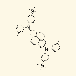 Cc1cccc(N(c2ccc([Si](C)(C)C)cc2)c2cc3ccc4cc(N(c5ccc([Si](C)(C)C)cc5)c5cccc(C)c5)cc5ccc(c2)c3c45)c1